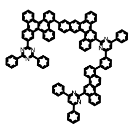 c1ccc(-c2cc(-c3ccccc3)nc(-c3cc4c5cccc(-c6cccc(-c7cc(-c8ccccc8)nc(-c8cc9c%10ccccc%10c%10cc%11cc(-c%12cccc%13c%12c%12ccccc%12c%12c%14cc(-c%15nc(-c%16ccccc%16)nc(-c%16ccccc%16)n%15)ccc%14c%14ccccc%14c%13%12)ccc%11cc%10c9c9ccccc89)n7)c6)c5ccc4c4ccccc34)n2)cc1